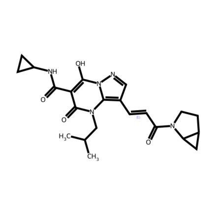 CC(C)Cn1c(=O)c(C(=O)NC2CC2)c(O)n2ncc(/C=C/C(=O)N3CCC4CC43)c12